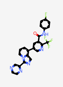 O=C(Nc1ccc(F)cc1)c1cc(-c2cccn3c(-c4cnccn4)ncc23)cnc1C(F)(F)F